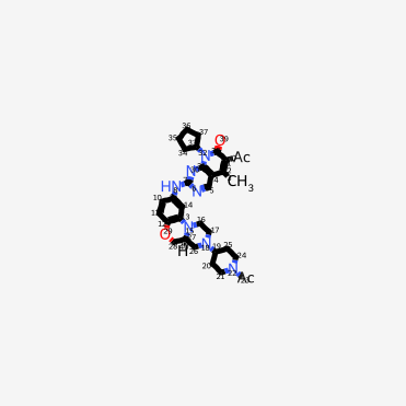 CC(=O)c1c(C)c2cnc(Nc3ccc4c(c3)N3CCN(C5CCN(C(C)=O)CC5)C[C@H]3CO4)nc2n(C2CCCC2)c1=O